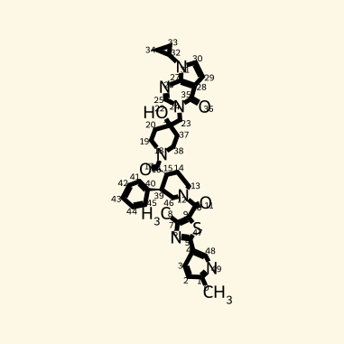 Cc1ccc(-c2nc(C)c(C(=O)N3CC[C@@H](C(=O)N4CCC(O)(Cn5cnc6c(ccn6C6CC6)c5=O)CC4)[C@H](c4ccccc4)C3)s2)cn1